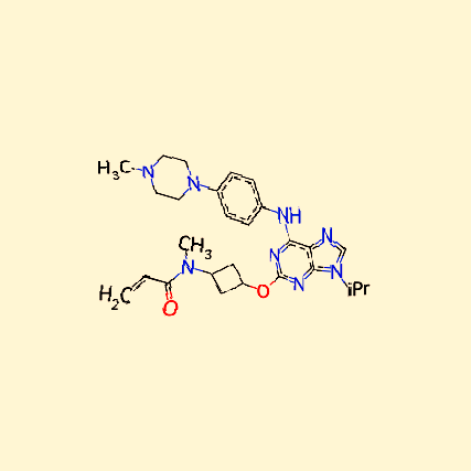 C=CC(=O)N(C)C1CC(Oc2nc(Nc3ccc(N4CCN(C)CC4)cc3)c3ncn(C(C)C)c3n2)C1